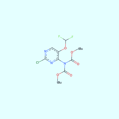 CC(C)(C)OC(=O)N(C(=O)OC(C)(C)C)c1nc(Cl)ncc1OC(F)F